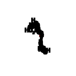 Cc1c(Oc2ccc(CCCCN3CCN(c4ccc5c(C6CCC(=O)NC6=O)nn(C)c5c4)CC3)cc2)cccc1-c1ccc(N2CCc3cccc(C(=O)Nc4nc5ccccc5s4)c3C2)nc1C(=O)O